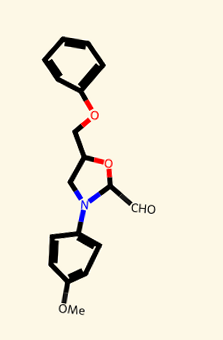 COc1ccc(N2CC(COc3ccccc3)OC2C=O)cc1